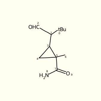 CC(C)(C)C(C=O)C1CC1(C)C(N)=O